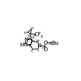 CC(C)(C)OC(=O)N1CCc2[nH]nc(C3(C(F)(F)F)CC3)c2C1